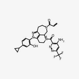 C=CC(=O)N1CCc2nn(-c3ccc(C4CC4)cc3O)c3c2[C@H](C1)N(C(=O)c1nnc(C(F)(F)F)cc1N)CC3